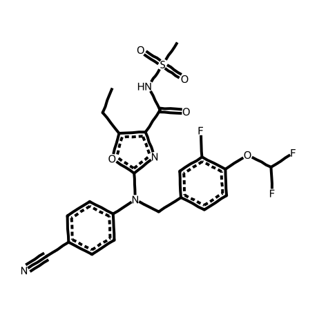 CCc1oc(N(Cc2ccc(OC(F)F)c(F)c2)c2ccc(C#N)cc2)nc1C(=O)NS(C)(=O)=O